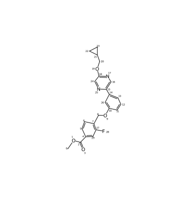 COC(=O)c1ccc(COc2cccc(-c3cnc(OCC4CC4)cn3)c2)c(F)c1